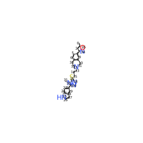 Cc1cc(-c2ccc3c(c2)CCN(CCCSc2nnc(-c4ccc5[nH]ccc5c4)n2C)CC3)no1